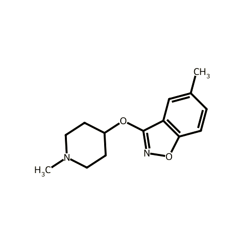 Cc1ccc2onc(OC3CCN(C)CC3)c2c1